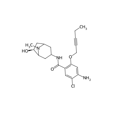 CCC#CCOc1cc(N)c(Cl)cc1C(=O)NC1CC2C[C@H](O)C(C1)N2C